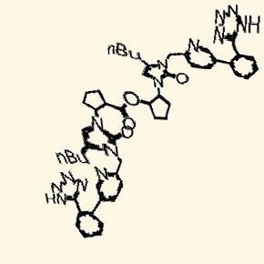 CCCCc1cn(C2CCCC2OC(=O)C2CCCC2n2cc(CCCC)n(Cc3ccc(-c4ccccc4-c4nnn[nH]4)cn3)c2=O)c(=O)n1Cc1ccc(-c2ccccc2-c2nnn[nH]2)cn1